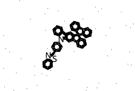 c1ccc2c(c1)-c1ccccc1C21c2ccccc2-c2cc3c(cc21)c1ccccc1n3-c1ccc(-c2nc3ccccc3s2)cc1